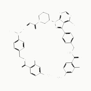 C=CC(=O)N1CCC[C@@H](n2nc(-c3ccc(CNC(=O)c4ccc(OC)cc4F)cc3)c3c(N)ncnc32)C1.COc1ccc(C(=O)NCc2ccc(B(O)O)cc2)c(F)c1